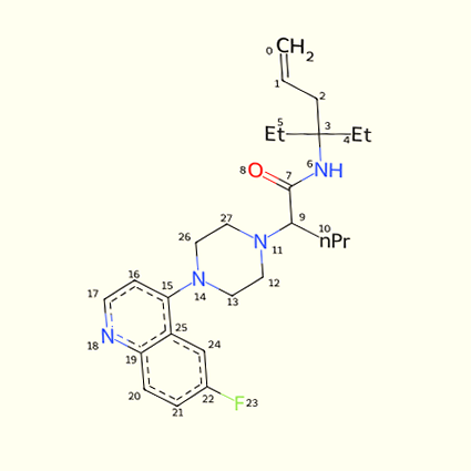 C=CCC(CC)(CC)NC(=O)C(CCC)N1CCN(c2ccnc3ccc(F)cc23)CC1